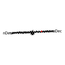 [CH2]c1c(CCCCCCCCCCCCCCCCCCCCCCCCCCCC)cccc1CCCCCCCCCCCCCCCCCCCCCCCCCCCC